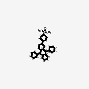 O=P(O)(O)c1ccc(-c2ccc3c(-c4ccccc4)c4ccccc4c(-c4ccccc4)c3c2)cc1